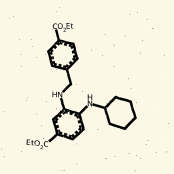 CCOC(=O)c1ccc(CNc2cc(C(=O)OCC)ccc2NC2CCCCC2)cc1